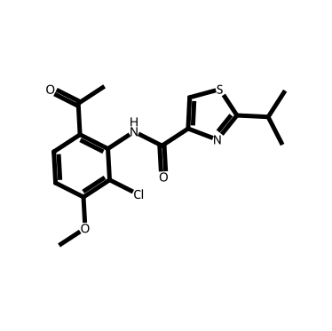 COc1ccc(C(C)=O)c(NC(=O)c2csc(C(C)C)n2)c1Cl